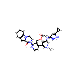 CC(=O)OCc1c(C2=CN(C)CC(Nc3cc(C4CC4)[nH]n3)=C2)ccnc1N1CCn2c(cc3c2CCCC3)C1=O